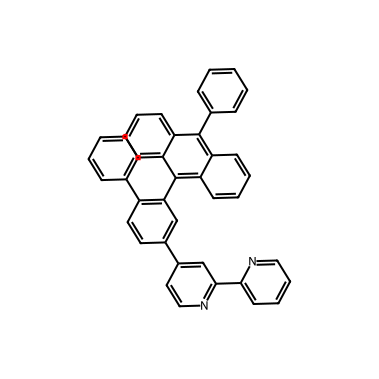 c1ccc(-c2ccc(-c3ccnc(-c4ccccn4)c3)cc2-c2c3ccccc3c(-c3ccccc3)c3ccccc23)cc1